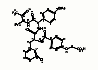 COc1ccc([C@H](NC(=O)[C@H](Cc2cccc(Cl)c2)NC(=O)c2ccc(OCC(=O)O)cc2)C(=O)N[C@H](C(=O)C(F)(F)F)C(C)C)cc1